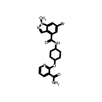 Cn1ncc2c(C(=O)NC3CCC(Oc4ncccc4C(N)=O)CC3)cc(Br)cc21